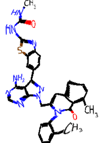 CNC(=O)Nc1nc2ccc(-c3nn(Cc4cc5cccc(C)c5c(=O)n4-c4ccccc4C)c4ncnc(N)c34)cc2s1